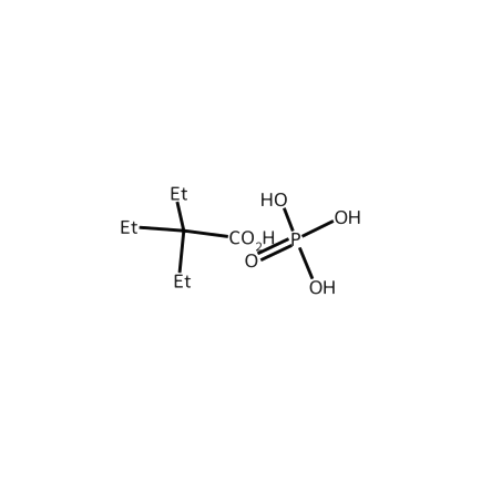 CCC(CC)(CC)C(=O)O.O=P(O)(O)O